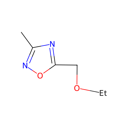 CCOCc1nc(C)no1